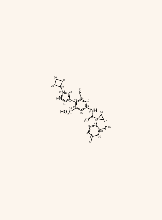 Cc1ccc(C2(C(=O)Nc3cc(F)c(-c4cnn(C5CCC5)c4)c(C(=O)O)c3)CC2)c(F)c1